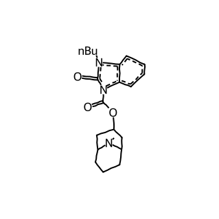 CCCCn1c(=O)n(C(=O)OC2CC3CCCC(C2)N3C)c2ccccc21